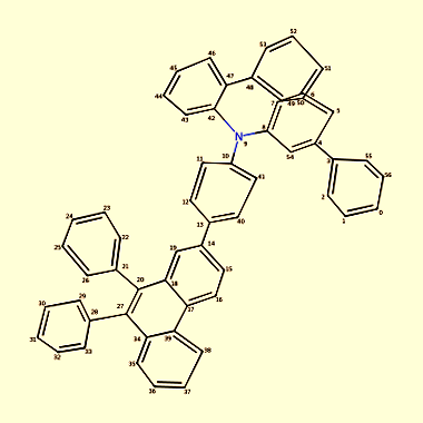 c1ccc(-c2cccc(N(c3ccc(-c4ccc5c(c4)c(-c4ccccc4)c(-c4ccccc4)c4ccccc45)cc3)c3ccccc3-c3ccccc3)c2)cc1